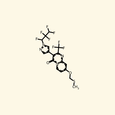 CSCOc1ccn2c(=O)c(-c3cnn(C(F)C(F)(F)C(F)F)c3)c(C(F)(F)F)nc2c1